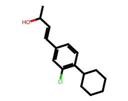 CC(O)/C=C/c1ccc(C2CCCCC2)c(Cl)c1